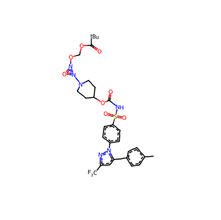 Cc1ccc(-c2cc(C(F)(F)F)nn2-c2ccc(S(=O)(=O)NC(=O)OC3CCN(n4on4OCOC(=O)C(C)(C)C)CC3)cc2)cc1